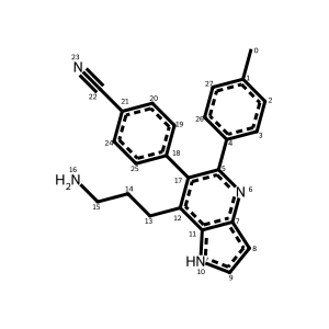 Cc1ccc(-c2nc3cc[nH]c3c(CCCN)c2-c2ccc(C#N)cc2)cc1